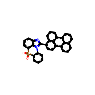 O=S1(=O)c2ccccc2-n2c(-c3ccc4c5cccc6cccc(c7cccc3c74)c65)nc3cccc1c32